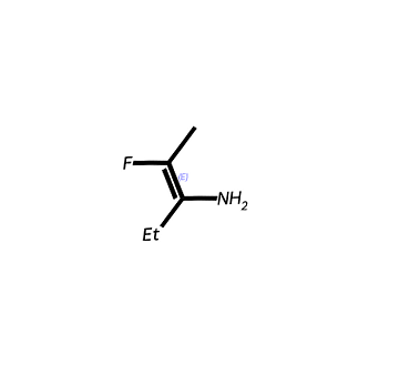 CC/C(N)=C(/C)F